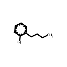 [3H]c1[c]cccc1CCCC